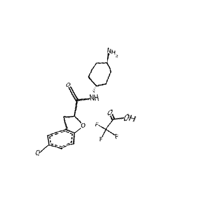 N[C@H]1CC[C@H](NC(=O)C2Cc3cc(Cl)ccc3O2)CC1.O=C(O)C(F)(F)F